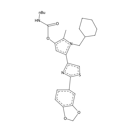 CCCCNC(=O)Oc1cc(-c2csc(-c3ccc4c(c3)OCO4)n2)n(CC2CCCCC2)c1C